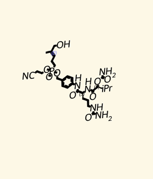 C/C(=C\CCP(=O)(OCCC#N)OCc1ccc(NC(=O)[C@H](CCCNC(N)=O)NC(=O)[C@@H](OC(N)=O)C(C)C)cc1)CO